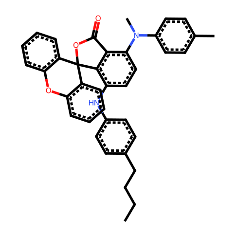 CCCCc1ccc(Nc2ccc(N(C)c3ccc(C)cc3)c3c2C2(OC3=O)c3ccccc3Oc3ccccc32)cc1